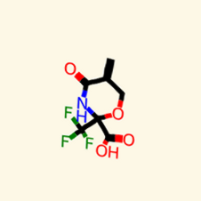 C=C1COC(C(=O)O)(C(F)(F)F)NC1=O